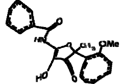 COc1ccccc1C1(C)OC(NC(=O)c2ccccc2)=C(O)C1=O